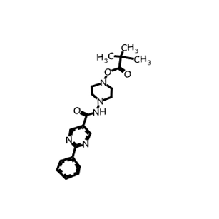 CC(C)(C)C(=O)ON1CCN(NC(=O)c2cnc(-c3ccccc3)nc2)CC1